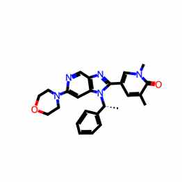 Cc1cc(-c2nc3cnc(N4CCOCC4)cc3n2[C@H](C)c2ccccc2)cn(C)c1=O